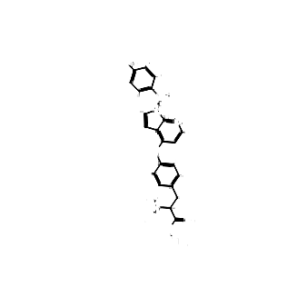 COC(=O)C(Cc1ccc(Oc2ccnc3c2ccn3[S+]([O-])c2ccc(C)cc2)cc1)N(C)C